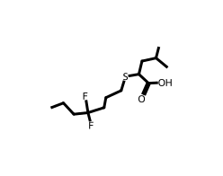 CCCC(F)(F)CCCSC(CC(C)C)C(=O)O